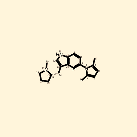 Cc1ccc(C)n1-c1ccc2[nH]cc(C[C@@H]3CCCN3C)c2c1